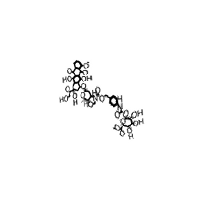 COC(=O)[C@H]1O[C@@H](OC(=O)Nc2ccc(COC(=O)N3CO[C@@H]4[C@H](C)O[C@@H](OC5C[C@](O)(C(=O)CO)Cc6c(O)c7c(c(O)c65)C(=O)c5c(OC)cccc5C7=O)C[C@@H]43)cc2)[C@H](O)[C@@H](O)[C@@H]1O